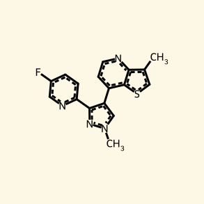 Cc1csc2c(-c3cn(C)nc3-c3ccc(F)cn3)ccnc12